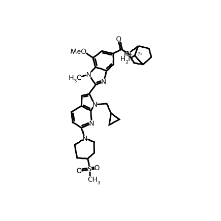 COc1cc(C(=O)N2CC3CCC2[C@@H]3N)cc2nc(-c3cc4ccc(N5CCC(S(C)(=O)=O)CC5)nc4n3CC3CC3)n(C)c12